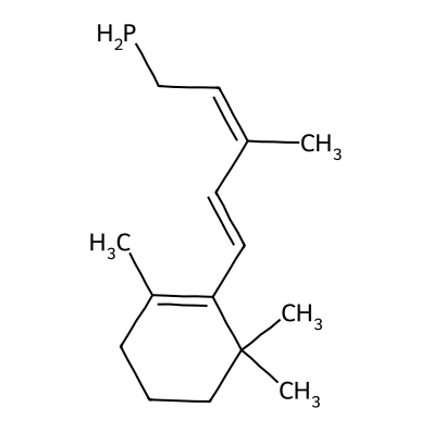 CC1=C(/C=C/C(C)=C\CP)C(C)(C)CCC1